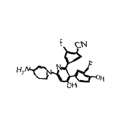 N#Cc1ccc(-c2nc(N3CCC(N)CC3)cc(O)c2-c2ccc(O)c(F)c2)cc1F